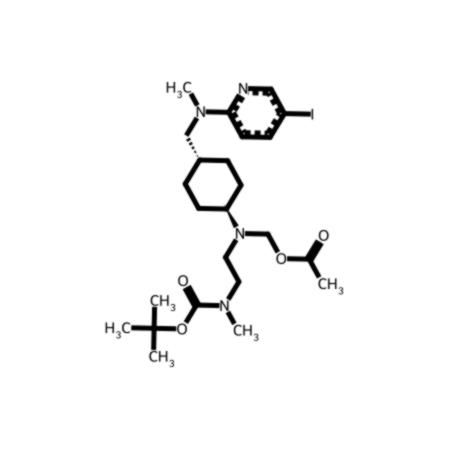 CC(=O)OCN(CCN(C)C(=O)OC(C)(C)C)[C@H]1CC[C@H](CN(C)c2ccc(I)cn2)CC1